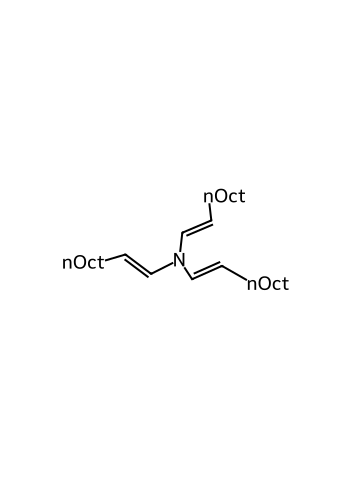 CCCCCCCC/C=C/N(/C=C/CCCCCCCC)/C=C/CCCCCCCC